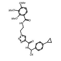 COc1ccc(C(=O)NCCn2cc(C(=O)NC(C#N)c3ccc(C4CC4)cc3)nn2)c(OC)c1OC